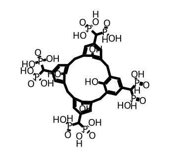 O=[PH](O)C(c1cc2c(O)c(c1)Cc1cc(C([PH](=O)O)P(=O)(O)O)cc(c1O)Cc1cc(C(P(=O)(O)O)P(=O)(O)O)cc(c1O)Cc1cc(C([PH](=O)O)P(=O)(O)O)cc(c1O)C2)[PH](=O)O